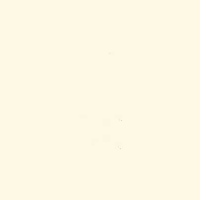 CCNC(=O)/C(=N/OC)c1ccccc1COc1ccccc1C(F)(F)F